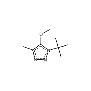 COc1c(C)nnn1C(C)(C)C